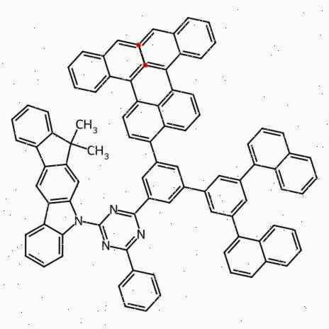 CC1(C)c2ccccc2-c2cc3c4ccccc4n(-c4nc(-c5ccccc5)nc(-c5cc(-c6cc(-c7cccc8ccccc78)cc(-c7cccc8ccccc78)c6)cc(-c6ccc(-c7cccc8ccccc78)c7c(-c8cccc9ccccc89)cccc67)c5)n4)c3cc21